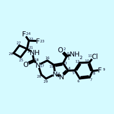 NC(=O)c1c(-c2ccc(F)c(Cl)c2)nn2c1CN(C(=O)NC1(C(F)F)CCC1)CC2